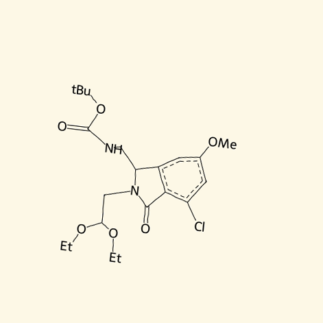 CCOC(CN1C(=O)c2c(Cl)cc(OC)cc2C1CNC(=O)OC(C)(C)C)OCC